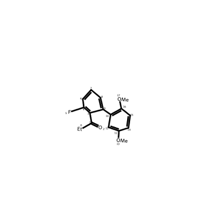 CCC(=O)c1c(F)cccc1-c1cc(OC)ccc1OC